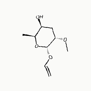 C=CO[C@@H]1O[C@@H](C)[C@@H](O)C[C@@H]1OC